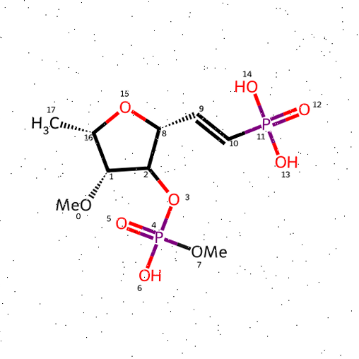 CO[C@H]1C(OP(=O)(O)OC)[C@@H](/C=C/P(=O)(O)O)O[C@H]1C